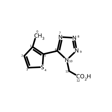 Cc1ccsc1-c1nnnn1CC(=O)O